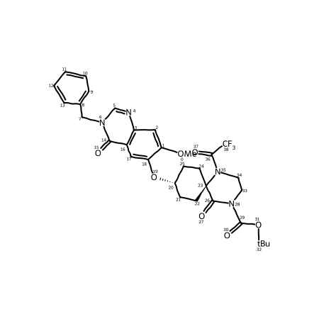 COc1cc2ncn(Cc3ccccc3)c(=O)c2cc1O[C@H]1CC[C@]2(CC1)C(=O)N(C(=O)OC(C)(C)C)CCN2C(=O)C(F)(F)F